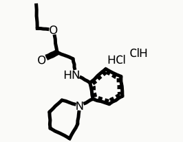 CCOC(=O)CNc1ccccc1N1CCCCC1.Cl.Cl